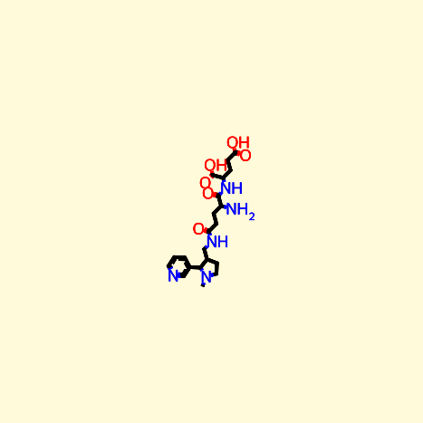 CN1CCC(CNC(=O)CCC(N)C(=O)NC(CCC(=O)O)C(=O)O)C1c1cccnc1